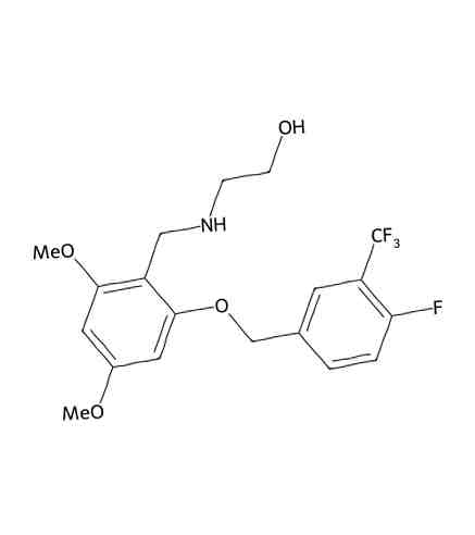 COc1cc(OC)c(CNCCO)c(OCc2ccc(F)c(C(F)(F)F)c2)c1